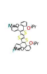 COc1cccc(OC(C)C)c1-c1sc2c(sc3c(-c4ccc(F)cc4)c(-c4c(OC)cccc4OC(C)C)sc32)c1-c1ccc(F)cc1